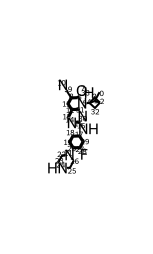 C[C@@H]1C2CC1(n1c(=O)c(C#N)cc3cnc(Nc4ccc(N5CCNCC5)c(F)c4)nc31)C2